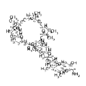 C=C1C[C@@H]2CC[C@]34C[C@@H](OC)C(O3)[C@@H]3O[C@H]5CC[C@H](CC(=O)O[C@@H]6[C@@H](C)[C@@H]7O[C@@H]8C[C@]9(C[C@@H]%10O[C@]%11(C[C@H](C)[C@@H]%12O[C@H](CN)[C@H](O)C[C@@H]%12O%11)C[C@H](C)[C@@H]%10O9)O[C@@H]8C[C@@H]7O[C@H]6C[C@H]6O[C@@H](CC[C@@H]1O2)C[C@@H](C)C6=C)O[C@@H]5[C@H](O4)C3C